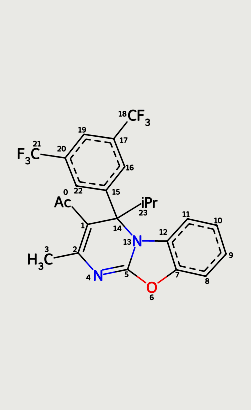 CC(=O)C1=C(C)N=C2Oc3ccccc3N2C1(c1cc(C(F)(F)F)cc(C(F)(F)F)c1)C(C)C